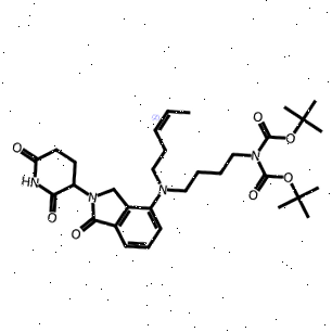 C/C=C\CCN(CCCCN(C(=O)OC(C)(C)C)C(=O)OC(C)(C)C)c1cccc2c1CN(C1CCC(=O)NC1=O)C2=O